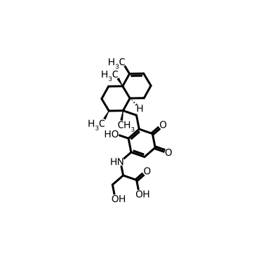 CC1=CCC[C@H]2[C@](C)(CC3=C(O)C(NC(CO)C(=O)O)=CC(=O)C3=O)[C@@H](C)CC[C@]12C